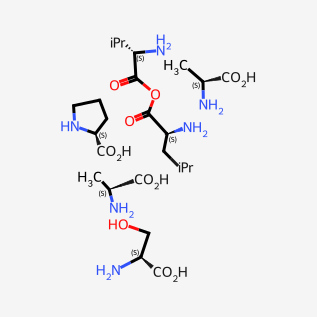 CC(C)C[C@H](N)C(=O)OC(=O)[C@@H](N)C(C)C.C[C@H](N)C(=O)O.C[C@H](N)C(=O)O.N[C@@H](CO)C(=O)O.O=C(O)[C@@H]1CCCN1